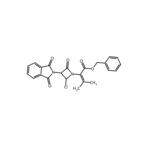 CC(C)=C(C(=O)OCc1ccccc1)N1C(=O)C(N2C(=O)c3ccccc3C2=O)C1Cl